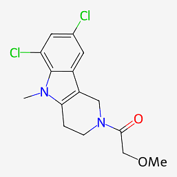 COCC(=O)N1CCc2c(c3cc(Cl)cc(Cl)c3n2C)C1